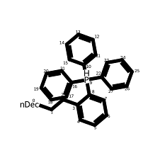 CCCCCCCCCCCCc1ccccc1[PH](c1ccccc1)(c1ccccc1)c1ccccc1